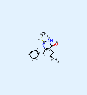 C=CCc1c(Cc2ccccc2)nc(SC)[nH]c1=O